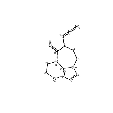 [N-]=[N+]=NC1CCn2ncc3c2N(CCO3)C1=O